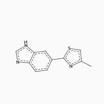 Cc1csc(-c2ccc3nc[nH]c3c2)n1